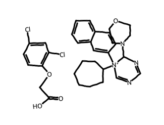 C1=NC=NC(N2CCOCC2)[N+]1(c1ccc2ccccc2c1)C1CCCCCC1.O=C(O)COc1ccc(Cl)cc1Cl